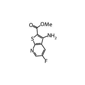 COC(=O)c1sc2ncc(F)cc2c1N